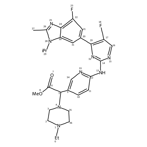 CCN1CCN(C(C(=O)OC)c2ccc(Nc3ncc(F)c(-c4cc(F)c5nc(C)n(C(C)C)c5c4)n3)nc2)CC1